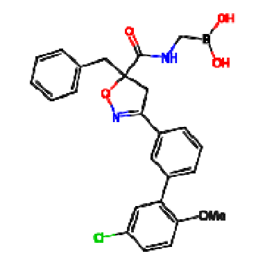 COc1ccc(Cl)cc1-c1cccc(C2=NOC(Cc3ccccc3)(C(=O)NCB(O)O)C2)c1